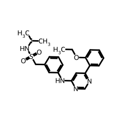 CCOc1ccccc1-c1cc(Nc2cccc(CS(=O)(=O)NI(C)C)c2)ncn1